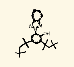 CC(C)(C)CC(C)(C)c1cc(-n2nc3ccccc3n2)c(O)c(C(C)(C)CC(C)(C)C)c1